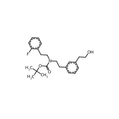 CC(C)(C)OC(=O)N(CCc1cccc(CCO)c1)CCc1ccccc1F